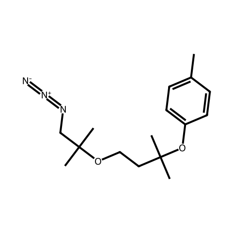 Cc1ccc(OC(C)(C)CCOC(C)(C)CN=[N+]=[N-])cc1